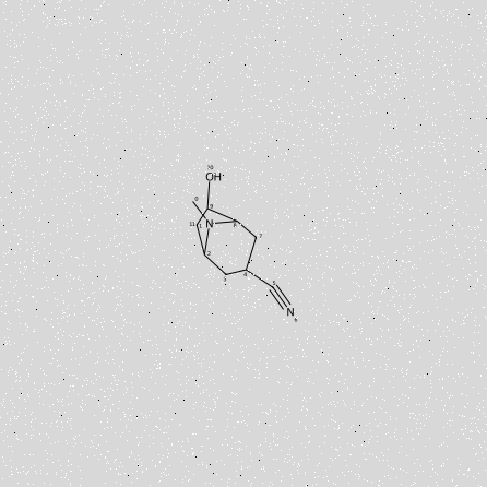 CN1C2CC(C#N)CC1C(O)C2